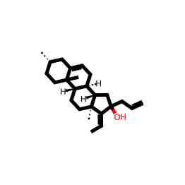 C=CCC1(O)C[C@H]2[C@@H]3CC=C4C[C@@H](C)CCC4(C)[C@H]3CC[C@]2(C)/C1=C\C